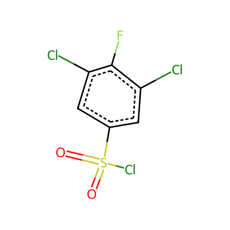 O=S(=O)(Cl)c1cc(Cl)c(F)c(Cl)c1